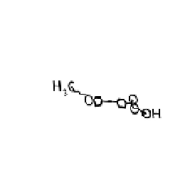 CCCCCOc1ccc(C#Cc2ccc(C(=O)OCCO)cc2)cc1